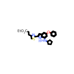 CCOC(=O)CCC1CSC(c2cc3cc(Oc4ccccc4)cc(NC4CCCC4)c3[nH]2)=N1